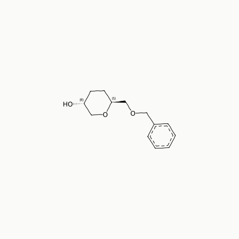 O[C@@H]1CC[C@@H](COCc2ccccc2)OC1